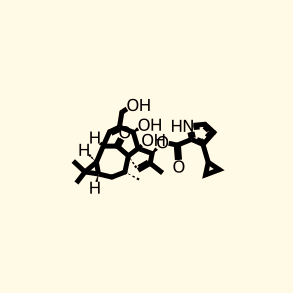 CC1=C[C@]23C(=O)[C@@H](C=C(CO)[C@@H](O)[C@]2(O)[C@H]1OC(=O)c1[nH]ccc1C1CC1)[C@H]1[C@@H](C[C@H]3C)C1(C)C